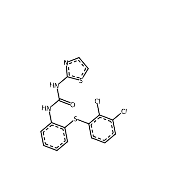 O=C(Nc1nccs1)Nc1ccccc1Sc1cccc(Cl)c1Cl